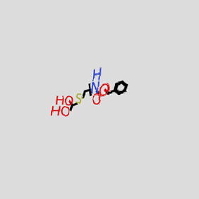 CC(C)(CCSCC(O)CO)NC(=O)OCc1ccccc1